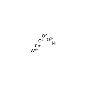 [Co].[Ni].[O-2].[O-2].[O-2].[W+6]